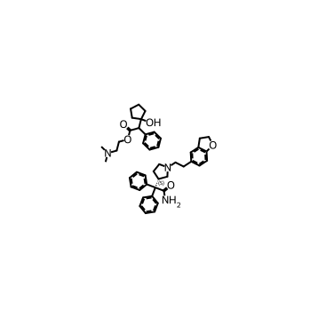 CN(C)CCOC(=O)C(c1ccccc1)C1(O)CCCC1.NC(=O)C(c1ccccc1)(c1ccccc1)[C@@H]1CCN(CCc2ccc3c(c2)CCO3)C1